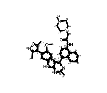 COc1cc2c(cc1-c1c(C)noc1C)[nH]c1nc(C)nc(-c3ccc(NC(=O)CN4CCN(C)CC4)c4ccccc34)c12